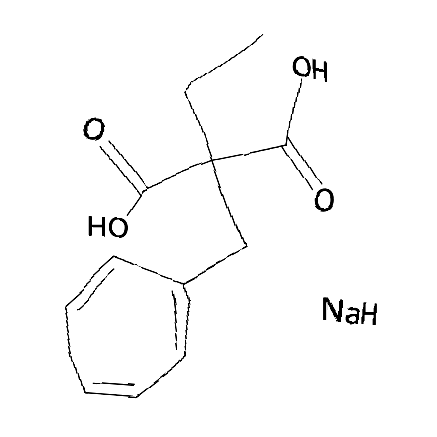 CCC(Cc1ccccc1)(C(=O)O)C(=O)O.[NaH]